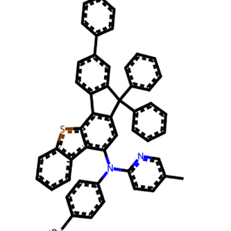 Cc1ccc(N(c2ccc(C(C)(C)C)cc2)c2cc3c(c4sc5ccccc5c24)-c2ccc(-c4ccccc4)cc2C3(c2ccccc2)c2ccccc2)nc1